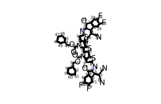 N#CC(C#N)=C1/C(=N/c2cc3c(s2)c2sc4c5sc(/N=C6/C(=O)c7cc(F)c(F)cc7C6=C(C#N)C#N)cc5n(C(=O)OCc5ccccc5)c4c2n3C(=O)OCc2ccccc2)C(=O)c2cc(F)c(F)cc21